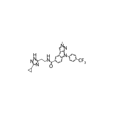 Cn1cc2c3cc(C(=O)NCCc4nc(C5CC5)n[nH]4)ccc3n(-c3ccc(C(F)(F)F)cc3)c2n1